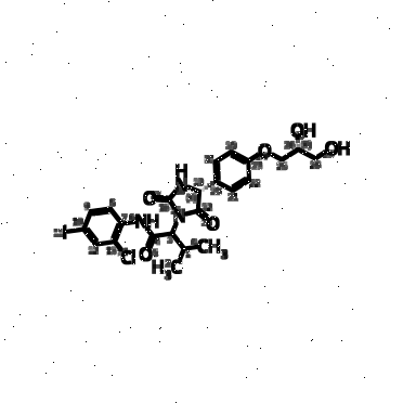 CC(C)C(C(=O)Nc1ccc(I)cc1Cl)N1C(=O)N[C@H](c2ccc(OC[C@H](O)CO)cc2)C1=O